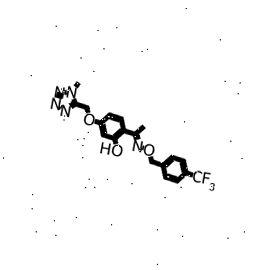 C/C(=N\OCc1ccc(C(F)(F)F)cc1)c1ccc(OCc2nnnn2C)cc1O